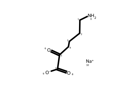 NCCCCC(=O)C(=O)[O-].[Na+]